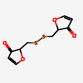 O=C1C=COC1CSSCC1OC=CC1=O